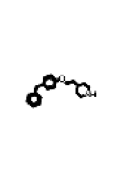 c1ccc(Cc2ccc(OCCC3CCNCC3)cc2)cc1